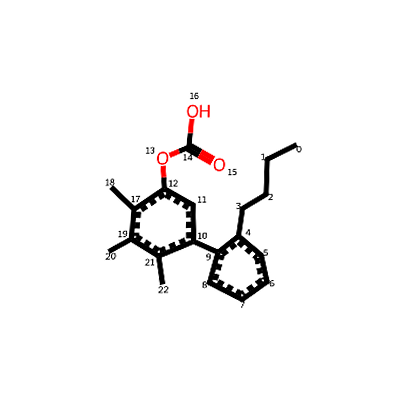 CCCCc1ccccc1-c1cc(OC(=O)O)c(C)c(C)c1C